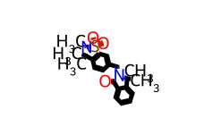 CN1C(C)(C)c2ccc(CN3C(=O)c4ccccc4C3(C)C)cc2S1(=O)=O